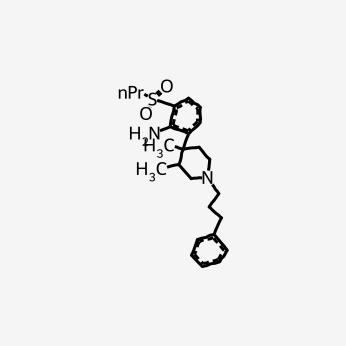 CCCS(=O)(=O)c1cccc(C2(C)CCN(CCCc3ccccc3)CC2C)c1N